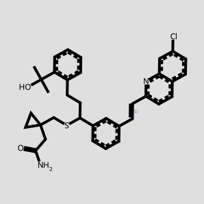 CC(C)(O)c1ccccc1CCC(SCC1(CC(N)=O)CC1)c1cccc(/C=C/c2ccc3ccc(Cl)cc3n2)c1